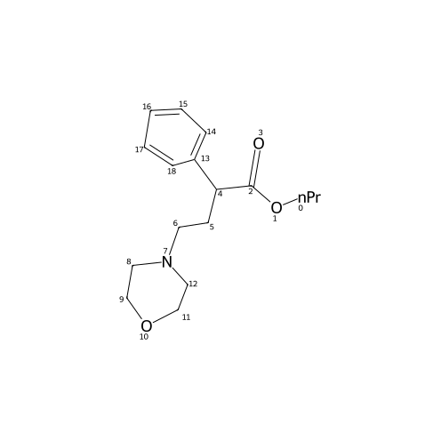 CCCOC(=O)C(CCN1CCOCC1)c1ccccc1